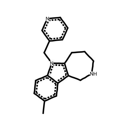 Cc1ccc2c(c1)c1c(n2Cc2cccnc2)CCCNC1